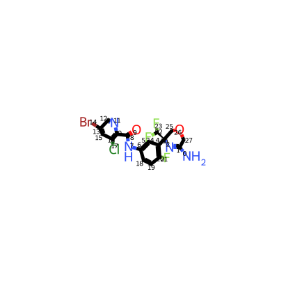 NC1=N[C@@](c2cc(NC(=O)c3ncc(Br)cc3Cl)ccc2F)(C(F)F)COC1